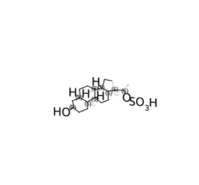 C[C@H](OS(=O)(=O)O)[C@H]1CC[C@H]2[C@@H]3CC[C@@H]4C[C@H](O)CC[C@]4(C)[C@H]3CC[C@]12C